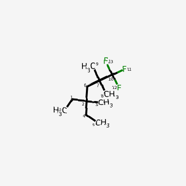 CCC(C)(CC)CC(C)(C)C(F)(F)F